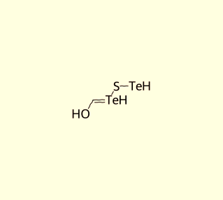 OC=[TeH]S[TeH]